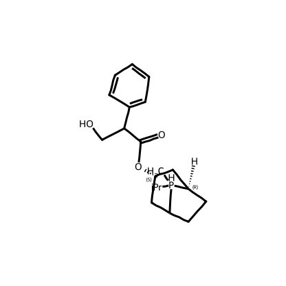 CC(C)[PH]1(C)C2CC[C@@H]1C[C@@H](OC(=O)C(CO)c1ccccc1)C2